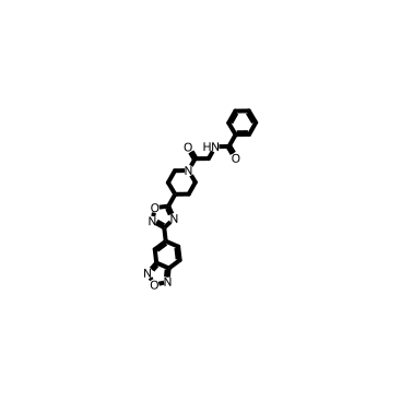 O=C(NCC(=O)N1CCC(c2nc(-c3ccc4nonc4c3)no2)CC1)c1ccccc1